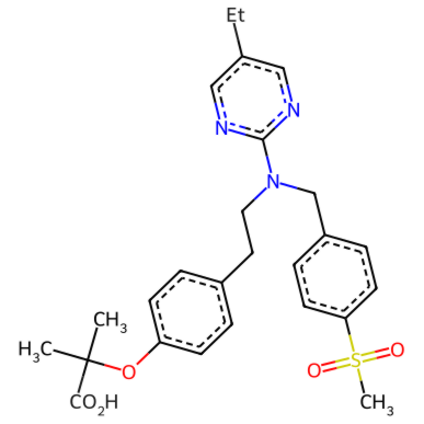 CCc1cnc(N(CCc2ccc(OC(C)(C)C(=O)O)cc2)Cc2ccc(S(C)(=O)=O)cc2)nc1